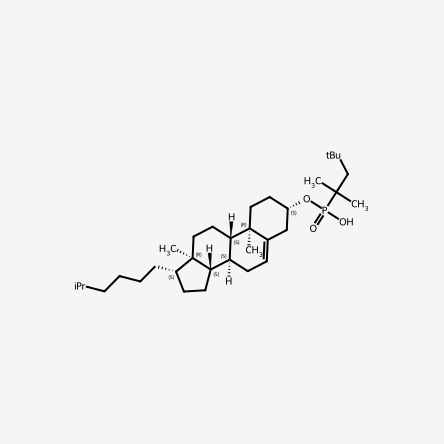 CC(C)CCCC[C@H]1CC[C@H]2[C@@H]3CC=C4C[C@@H](OP(=O)(O)C(C)(C)CC(C)(C)C)CC[C@]4(C)[C@H]3CC[C@]12C